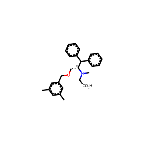 Cc1cc(C)cc(COC[C@H](C(c2ccccc2)c2ccccc2)N(C)CC(=O)O)c1